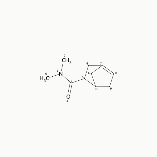 CN(C)C(=O)C1CC2=CCC1C2